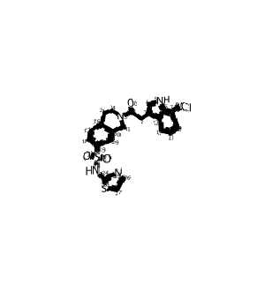 O=C(Cc1c[nH]c2c(Cl)cccc12)N1CCc2ccc(S(=O)(=O)Nc3nccs3)cc2C1